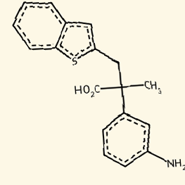 CC(Cc1cc2ccccc2s1)(C(=O)O)c1cccc(N)c1